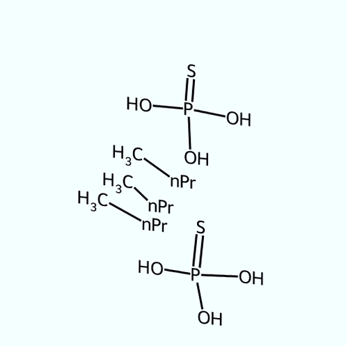 CCCC.CCCC.CCCC.OP(O)(O)=S.OP(O)(O)=S